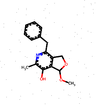 COC1OCc2c(Cc3ccccc3)nc(C)c(O)c21